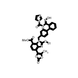 CCOc1nc2c(-c3oc(=O)oc3C)ccc(C(=O)OC)c2n1Cc1ccc(-c2ccccc2C(=NO)NC(=O)n2ccnc2)cc1